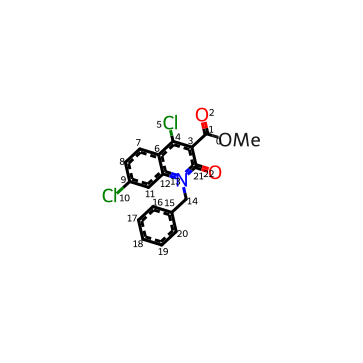 COC(=O)c1c(Cl)c2ccc(Cl)cc2n(Cc2ccccc2)c1=O